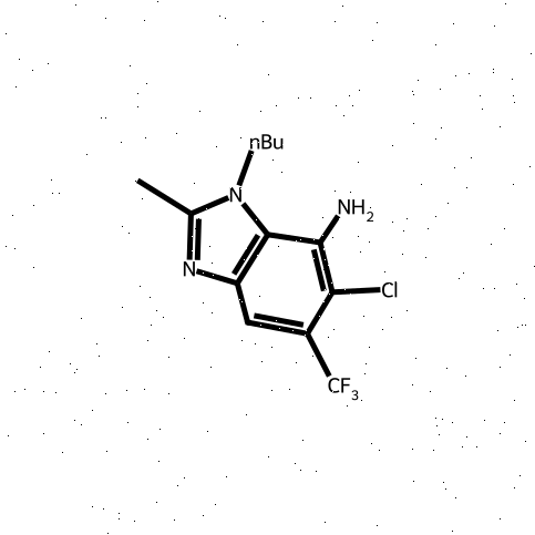 CCCCn1c(C)nc2cc(C(F)(F)F)c(Cl)c(N)c21